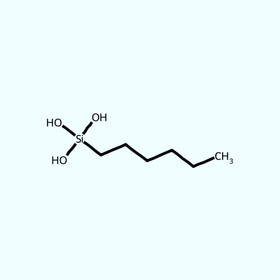 CCCCCC[Si](O)(O)O